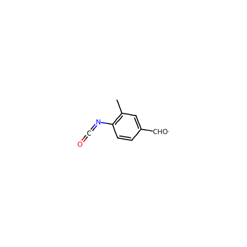 Cc1cc([C]=O)ccc1N=C=O